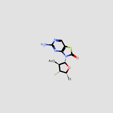 CC[C@H]1O[C@@H](n2c(=O)sc3cnc(N)nc32)[C@H](OC(C)=O)[C@H]1F